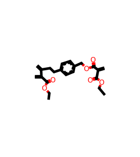 C=C(CCc1ccc(COC(=O)C(=C)C(=O)OCC)cc1)C(=C)C(=O)OCC